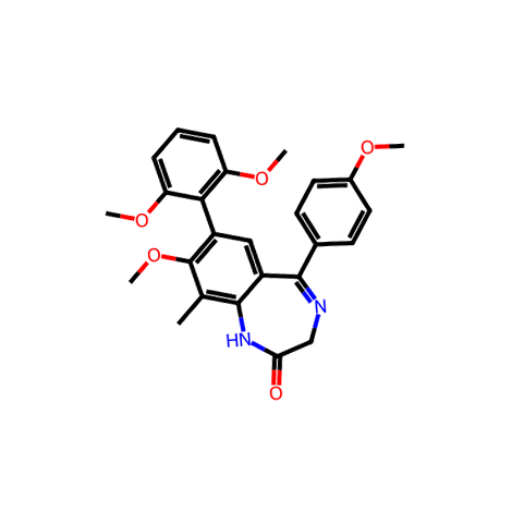 COc1ccc(C2=NCC(=O)Nc3c2cc(-c2c(OC)cccc2OC)c(OC)c3C)cc1